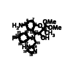 COC(OC)[C@@]1(C)Oc2ccc(N)cc2[C@@H](N(Cc2ncc[nH]2)c2ccc(F)cc2)[C@@H]1O